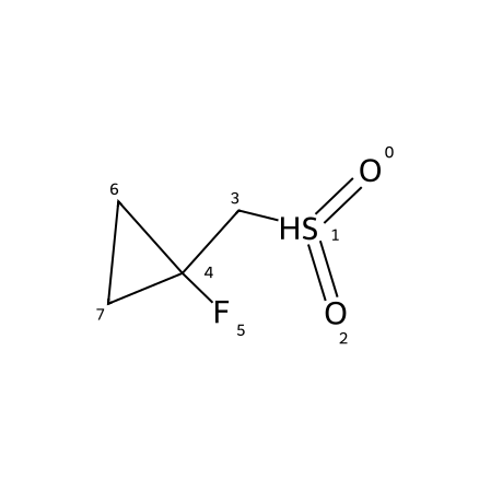 O=[SH](=O)CC1(F)CC1